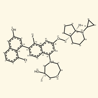 CCc1cccc2cc(O)cc(-c3ncc4c(N5CCOC[C@@](C)(O)C5)nc(OC[C@]56CCC[C@H]5N(C5CC5)CCC6)nc4c3F)c12